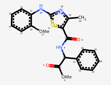 COC(=O)C(NC(=O)c1sc(Nc2ccccc2OC)nc1C)c1ccccc1